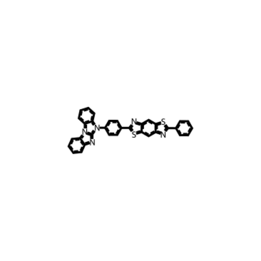 c1ccc(-c2nc3cc4sc(-c5ccc(-n6c7ccccc7n7c8ccccc8nc67)cc5)nc4cc3s2)cc1